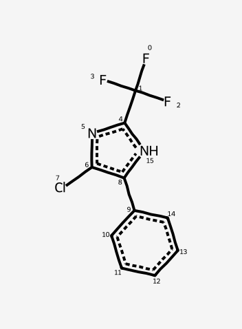 FC(F)(F)c1nc(Cl)c(-c2ccccc2)[nH]1